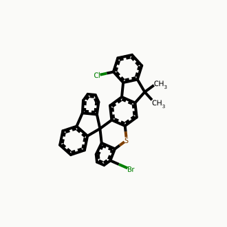 CC1(C)c2cc3c(cc2-c2c(Cl)cccc21)C1(c2ccccc2-c2ccccc21)c1cccc(Br)c1S3